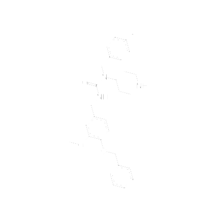 COc1cc(CNC(=O)N(Cc2ccc(F)cc2)C2CCNCC2)ccc1OCc1ccccc1